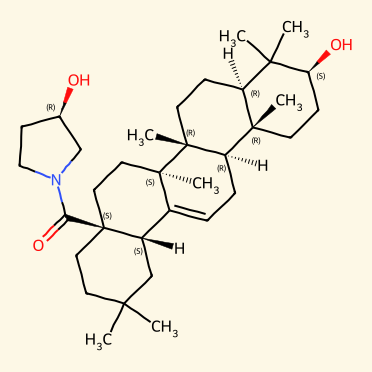 CC1(C)CC[C@]2(C(=O)N3CC[C@@H](O)C3)CC[C@]3(C)C(=CC[C@@H]4[C@@]5(C)CC[C@H](O)C(C)(C)[C@@H]5CC[C@]43C)[C@@H]2C1